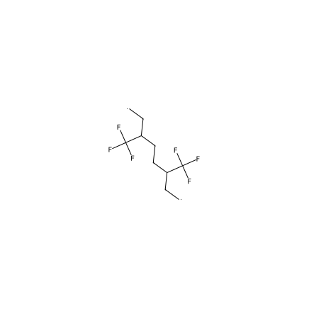 [CH2]CC(CCC(C[CH2])C(F)(F)F)C(F)(F)F